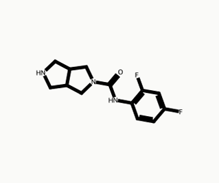 O=C(Nc1ccc(F)cc1F)N1CC2CNCC2C1